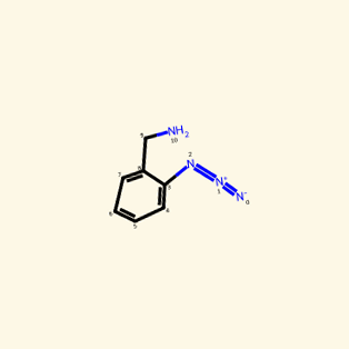 [N-]=[N+]=Nc1ccccc1CN